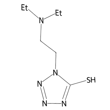 CCN(CC)CCn1nnnc1S